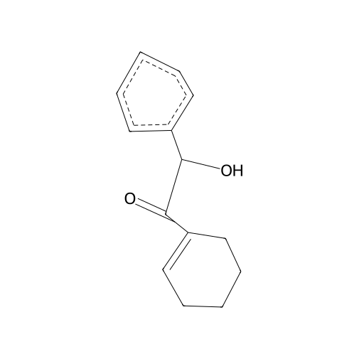 O=C(C1=CCCCC1)C(O)c1ccccc1